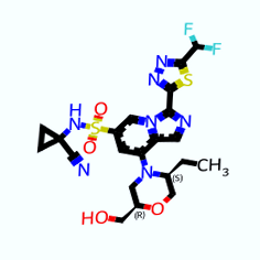 CC[C@H]1CO[C@@H](CO)CN1c1cc(S(=O)(=O)NC2(C#N)CC2)cn2c(-c3nnc(C(F)F)s3)ncc12